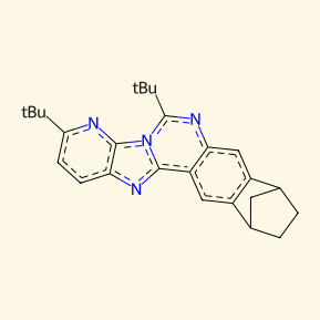 CC(C)(C)c1ccc2nc3c4cc5c(cc4nc(C(C)(C)C)n3c2n1)C1CCC5C1